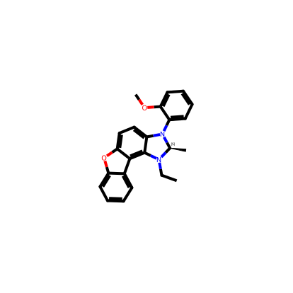 CCN1c2c(ccc3oc4ccccc4c23)N(c2ccccc2OC)[C@H]1C